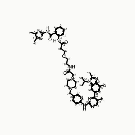 Cc1nc(NC(=O)c2ccccc2NC(=O)CCOCCNC(=O)CN2CCN(Cc3ccc(Nc4ncc(F)c(-c5cc(F)c6nc(C)n(C(C)C)c6c5)n4)nc3)CC2)sc1C